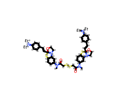 CCN(CC)c1ccc(/C=C/C23OCCN2c2cc(N(C)C(=O)CSSCC(=O)N(C)c4ccc5c(c4)N4CCOC4(/C=C/c4ccc(N(CC)CC)cc4)S5)ccc2S3)cc1